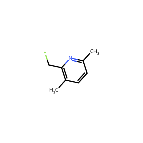 Cc1ccc(C)c(CF)n1